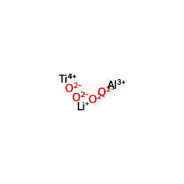 [Al+3].[Li+].[O-2].[O-2].[O-2].[O-2].[Ti+4]